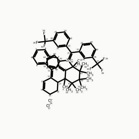 CC12C(=C3Cc4ccccc4C3=C3C=CCCC31)[C](C)([Zr+2](=[C](c1cccc(C(F)(F)F)c1)c1cccc(C(F)(F)F)c1)[CH]1C=CC=C1)C(C)(C)C(C)(C)C2(C)C.[Cl-].[Cl-]